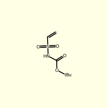 [CH]=CS(=O)(=O)NC(=O)OC(C)(C)C